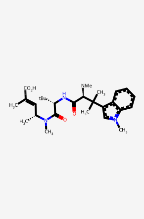 CN[C@H](C(=O)N[C@H](C(=O)N(C)[C@H](C)/C=C(\C)C(=O)O)C(C)(C)C)C(C)(C)c1cn(C)c2ccccc12